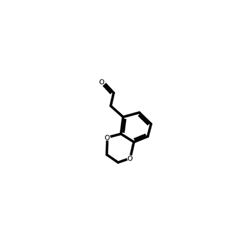 O=CCc1cccc2c1OCCO2